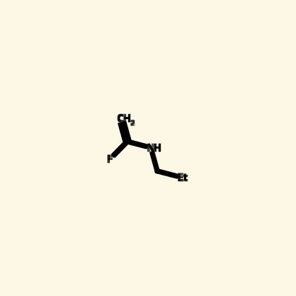 C=C(F)NCCC